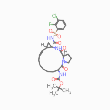 CC(C)(C)OC(=O)NC1CCCCC/C=C\[C@@H]2C[C@@]2(C(=O)NS(=O)(=O)c2cccc(Cl)c2F)NC(=O)[C@@H]2CCCN2C1=O